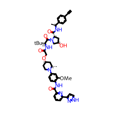 C#Cc1ccc([C@H](C)NC(=O)[C@@H]2C[C@@H](O)CN2C(=O)[C@@H](NC(=O)CO[C@H]2CCN(c3ccc(NC(=O)c4cccc(-c5cc[nH]n5)n4)c(OC)c3)[C@@H](C)C2)C(C)(C)C)cc1